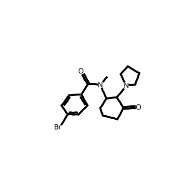 CN(C(=O)c1ccc(Br)cc1)C1CCCC(=O)C1N1CCCC1